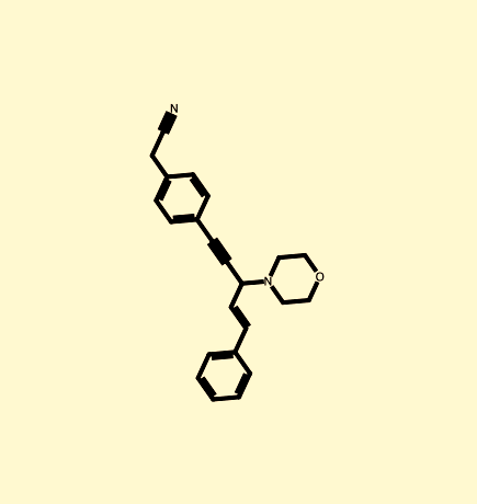 N#CCc1ccc(C#CC(/C=C/c2ccccc2)N2CCOCC2)cc1